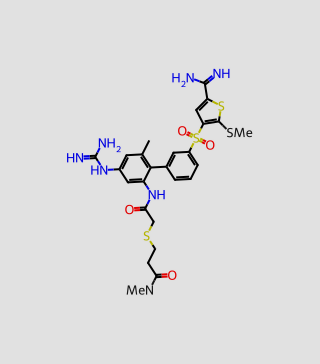 CNC(=O)CCSCC(=O)Nc1cc(NC(=N)N)cc(C)c1-c1cccc(S(=O)(=O)c2cc(C(=N)N)sc2SC)c1